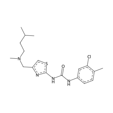 Cc1ccc(NC(=O)Nc2nc(CN(C)CCC(C)C)cs2)cc1Cl